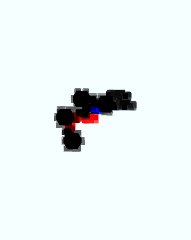 COc1ccc(C(Cc2ccccc2)NC[C@H](O)COc2ccccc2OCc2ccccc2)cc1OC